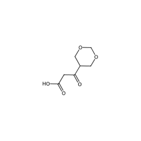 O=C(O)CC(=O)C1COCOC1